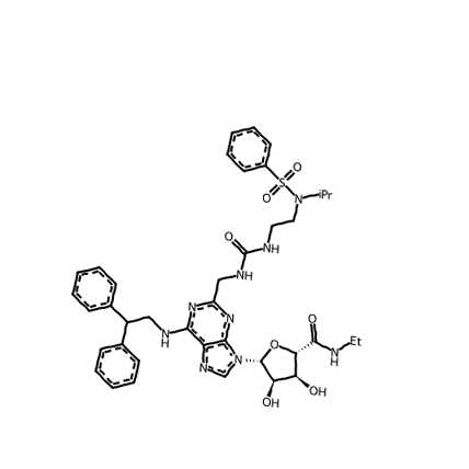 CCNC(=O)[C@H]1O[C@@H](n2cnc3c(NCC(c4ccccc4)c4ccccc4)nc(CNC(=O)NCCN(C(C)C)S(=O)(=O)c4ccccc4)nc32)[C@H](O)[C@@H]1O